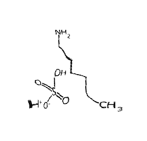 CCCCCCN.O=S(=O)([O-])O.[H+]